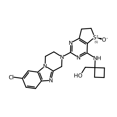 [O-][S@+]1CCc2nc(N3CCn4c(nc5ccc(Cl)cc54)C3)nc(NC3(CO)CCC3)c21